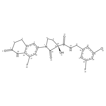 O=C1CCc2cc(N3CC[C@](O)(C(=O)NCc4cc(F)cc(Cl)c4)C3=O)cc(F)c2N1